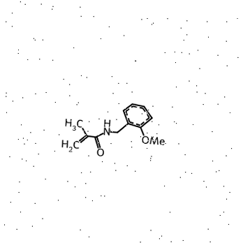 C=C(C)C(=O)NCc1ccccc1OC